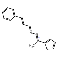 C/C(=N\N=CC=Cc1ccccc1)c1cccs1